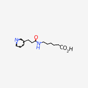 O=C(O)CCCCCNC(=O)CCc1cccnc1